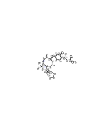 C=C1/C=C\C(C(F)(F)F)=C(\CN2C3CCCC2CC3)CCC[C@H]1Oc1ccc2c(c1)OC[C@H]2CC(=O)OC